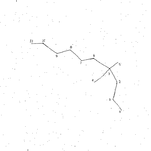 [CH2]CCC(C)(C)CCCCCC